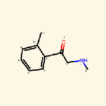 CNCC(=O)c1ccccc1C